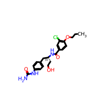 CCCOc1ccc(C(=O)N[C@H](CCO)Cc2ccc(NC(N)=O)cc2)cc1Cl